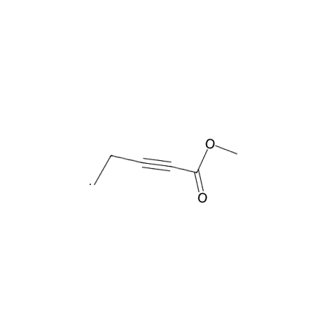 [CH2]CC#CC(=O)OC